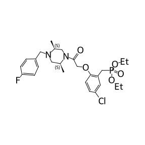 CCOP(=O)(Cc1cc(Cl)ccc1OCC(=O)N1C[C@H](C)N(Cc2ccc(F)cc2)C[C@@H]1C)OCC